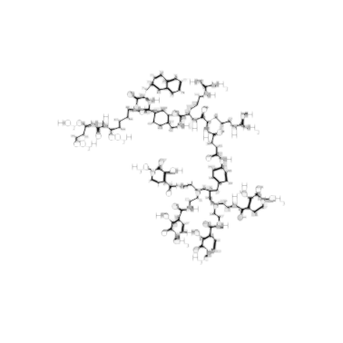 Cn1ccc(C(=O)NCCN(CCNC(=O)c2ccn(C)c(=O)c2O)CC(Cc2ccc(NC(=O)CCC(=O)N[C@H](CCCNC(=N)N)C(=O)N[C@H](CCCNC(=N)N)C(=O)NCC3CCC(C(=O)N[C@@H](Cc4ccc5ccccc5c4)C(=O)NCCCC[C@H](NC(=O)N[C@@H](CCC(=O)O)C(=O)O)C(=O)O)CC3)cc2)CN(CCNC(=O)c2ccn(C)c(=O)c2O)CCNC(=O)c2ccn(C)c(=O)c2O)c(O)c1=O